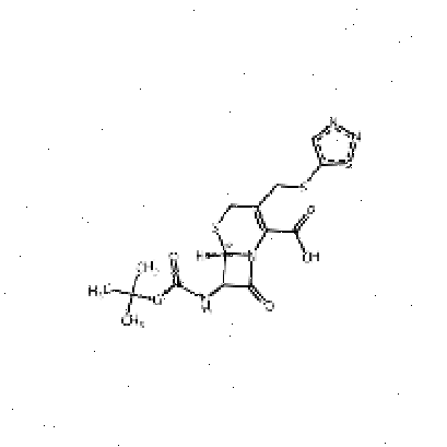 CC(C)(C)OC(=O)NC1C(=O)N2C(C(=O)O)=C(CSc3cnns3)CS[C@@H]12